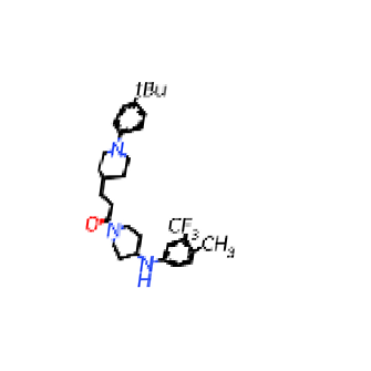 Cc1ccc(NC2CCN(C(=O)CCC3CCN(c4ccc(C(C)(C)C)cc4)CC3)CC2)cc1C(F)(F)F